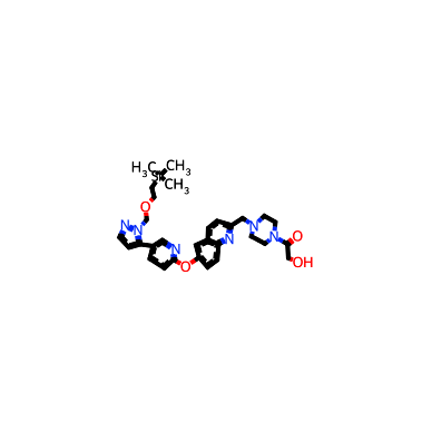 C[Si](C)(C)CCOCn1nccc1-c1ccc(Oc2ccc3nc(CN4CCN(C(=O)CO)CC4)ccc3c2)nc1